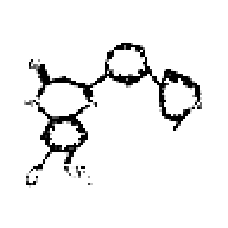 Cc1cc(-c2cccc(C3=Nc4cc(C(F)(F)F)c(Cl)cc4NC(=O)C3)c2)ccn1